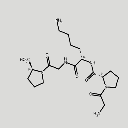 NCCCC[C@H](NC(=O)[C@@H]1CCCN1C(=O)CN)C(=O)NCC(=O)N1CCC[C@H]1C(=O)O